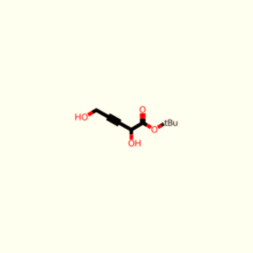 CC(C)(C)OC(=O)C(O)C#CCO